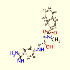 CN(CC(O)CNc1ccc(C(=N)N)cc1)S(=O)(=O)c1ccc2ccccc2c1